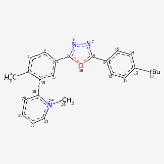 Cc1ccc(-c2nnc(-c3ccc(C(C)(C)C)cc3)o2)cc1-c1cccc[n+]1C